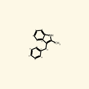 Cc1[nH]c2ccccc2c1Cc1ccccc1